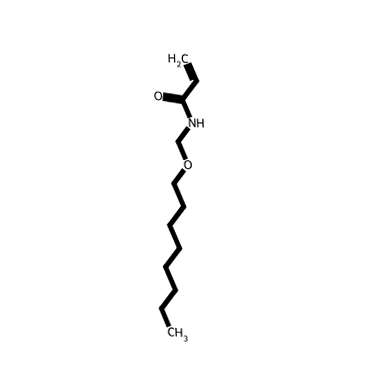 C=CC(=O)NCOCCCCCCCC